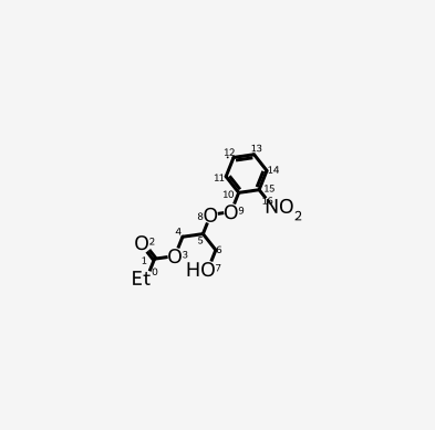 CCC(=O)OCC(CO)OOc1c[c]ccc1[N+](=O)[O-]